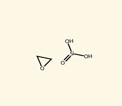 C1CO1.O=[Si](O)O